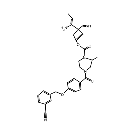 CC=C(N)C1(C=N)C=C(OC(=O)N2CCN(C(=O)c3ccc(OCc4cccc(C#N)c4)cc3)CC2C)C1